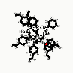 C=Cc1ccc([Si]23O[Si]4(CC(C)CC(C)(C)C)O[Si]5(c6ccccc6)O[Si](c6ccccc6)(O2)O[Si]2(c6cc(C=C)cc(C=C)c6)O[Si](c6ccc(C=C)cc6)(O5)O[Si](c5ccc(C=C)cc5)(O4)O[Si](c4ccc(C=C)cc4)(O3)O2)cc1